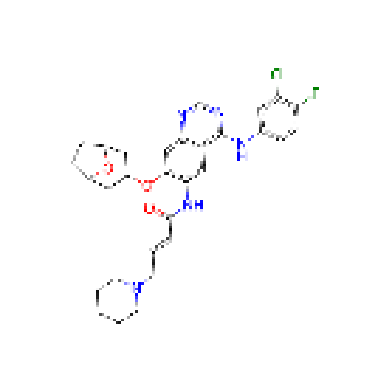 O=C(/C=C/CN1CCCCC1)Nc1cc2c(Nc3ccc(F)c(Cl)c3)ncnc2cc1OC1CC2CCC(C1)O2